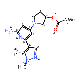 CNC(=O)O[C@@H]1CCN(c2cc(N)nc(-c3cnn(C)c3C)c2)C1